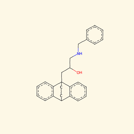 OC(CNCc1ccccc1)CC12CCC(c3ccccc31)c1ccccc12